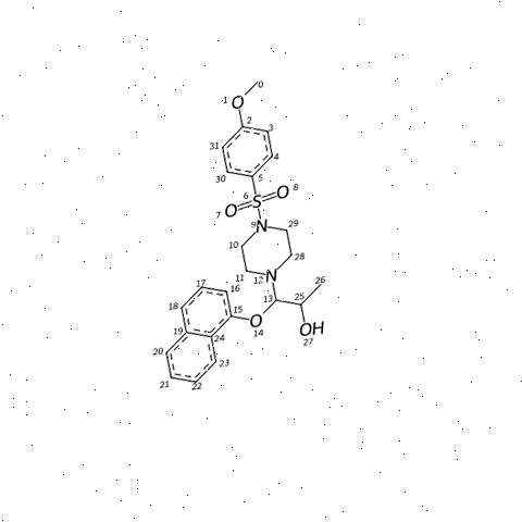 COc1ccc(S(=O)(=O)N2CCN(C(Oc3cccc4ccccc34)C(C)O)CC2)cc1